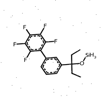 CCC(CC)(O[SiH3])c1cccc(-c2c(F)c(F)c(F)c(F)c2F)c1